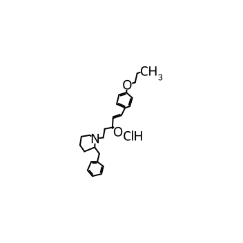 CCCOc1ccc(C=CC(=O)CCN2CCCCC2Cc2ccccc2)cc1.Cl